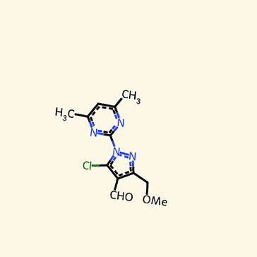 COCc1nn(-c2nc(C)cc(C)n2)c(Cl)c1C=O